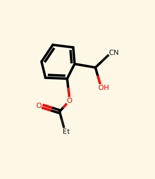 CCC(=O)Oc1ccccc1C(O)C#N